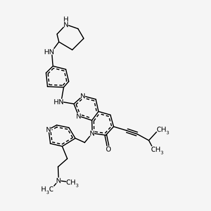 CC(C)C#Cc1cc2cnc(Nc3ccc(NC4CCCNC4)cc3)nc2n(Cc2ccncc2CCN(C)C)c1=O